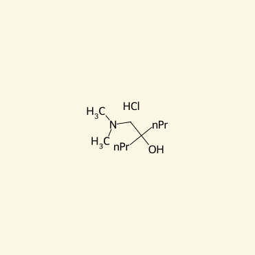 CCCC(O)(CCC)CN(C)C.Cl